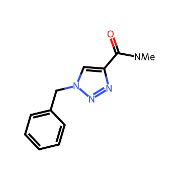 CNC(=O)c1cn(Cc2ccccc2)nn1